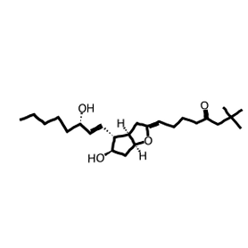 CCCCC[C@H](O)/C=C/[C@@H]1[C@H]2C/C(=C/CCCC(=O)CC(C)(C)C)O[C@H]2C[C@H]1O